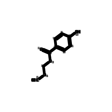 O=COCOC(=O)c1ccc(O)cc1